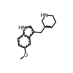 COc1ccc2[nH]cc(CC3=CCCNC3)c2c1